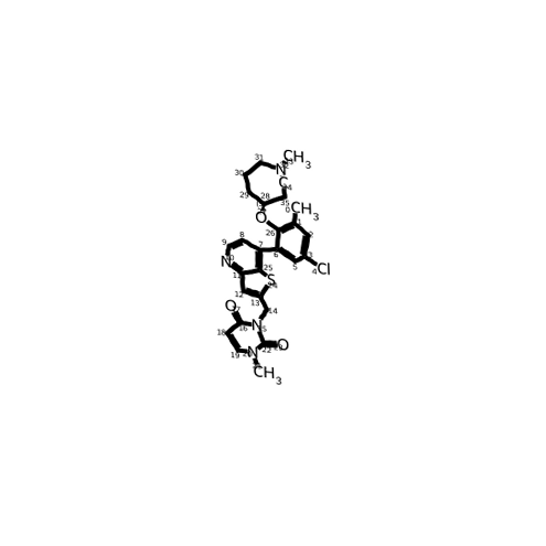 Cc1cc(Cl)cc(-c2ccnc3cc(Cn4c(=O)ccn(C)c4=O)sc23)c1O[C@H]1CCCN(C)CC1